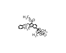 CCOC(=O)c1c(COCc2ccccc2)n(C)c2cc(B3OC(C)(C)C(C)(C)O3)ccc12